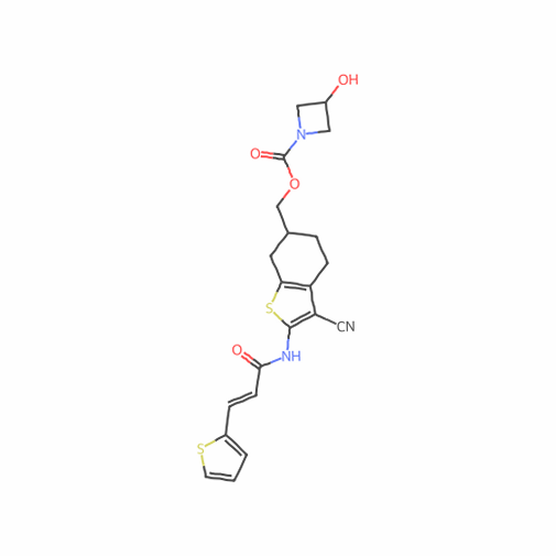 N#Cc1c(NC(=O)C=Cc2cccs2)sc2c1CCC(COC(=O)N1CC(O)C1)C2